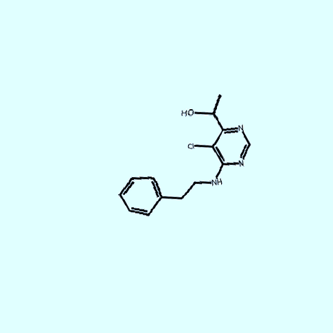 CC(O)c1ncnc(NCCc2ccccc2)c1Cl